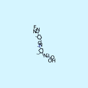 CCc1cc(/C(C)=N/OCc2ccc(-c3cnc(F)nc3)c(C)c2)ccc1CN1CC[C@H](C(=O)O)C1